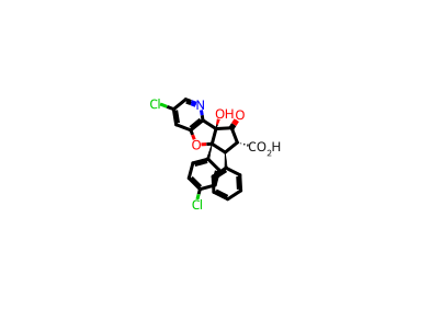 O=C(O)[C@H]1C(=O)[C@@]2(O)c3ncc(Cl)cc3O[C@@]2(c2ccc(Cl)cc2)[C@@H]1c1ccccc1